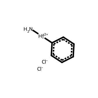 [Cl-].[Cl-].[NH2][Hf+2][c]1ccccc1